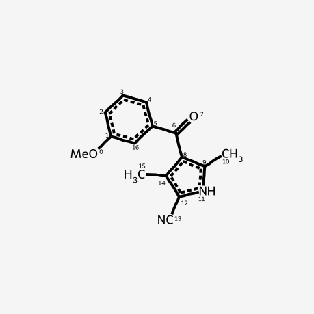 COc1cccc(C(=O)c2c(C)[nH]c(C#N)c2C)c1